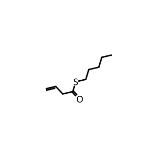 C=CCC(=O)SCCCCC